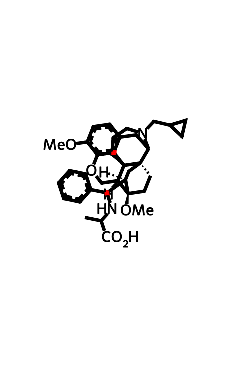 COc1ccc2c3c1OC[C@H]1[C@@]4(OC)CC[C@@]5(C[C@@H]4C(NC(C)C(=O)O)c4ccccc4)C(C2)N(CC2CC2)CCC[C@]315